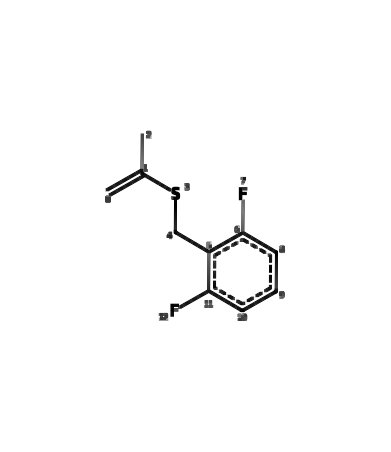 C=C(C)SCc1c(F)cccc1F